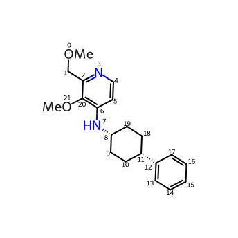 COCc1nccc(N[C@H]2CC[C@@H](c3ccccc3)CC2)c1OC